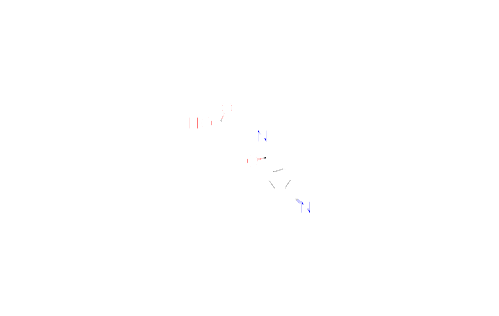 N#Cc1ccc(C(=O)CN2CCCC(CC(=O)O)C2)cc1